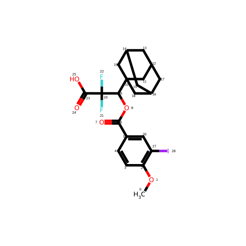 COc1ccc(C(=O)OC(C23CC4CC(CC(C4)C2)C3)C(F)(F)C(=O)O)cc1I